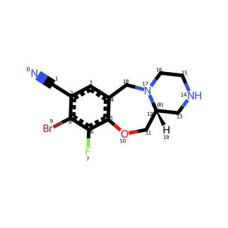 N#Cc1cc2c(c(F)c1Br)OC[C@H]1CNCCN1C2